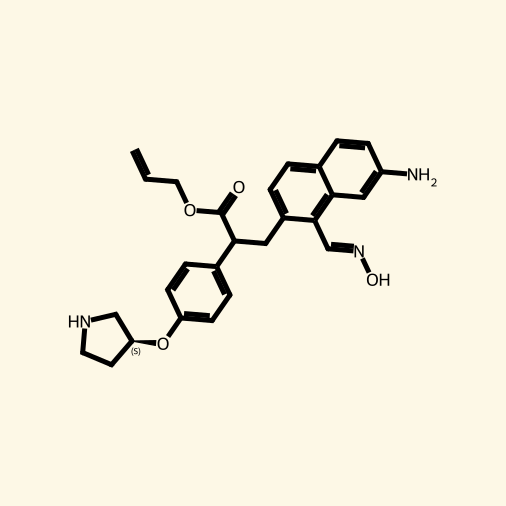 C=CCOC(=O)C(Cc1ccc2ccc(N)cc2c1C=NO)c1ccc(O[C@H]2CCNC2)cc1